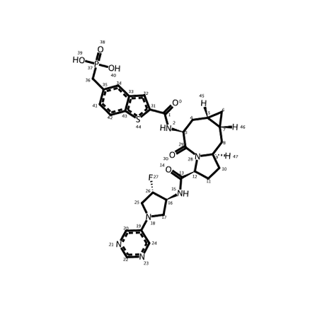 O=C(N[C@H]1C[C@@H]2C[C@@H]2C[C@H]2CC[C@@H](C(=O)N[C@H]3CN(c4cncnc4)C[C@@H]3F)N2C1=O)c1cc2cc(CP(=O)(O)O)ccc2s1